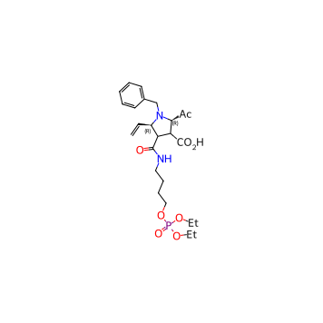 C=C[C@@H]1C(C(=O)NCCCCOP(=O)(OCC)OCC)C(C(=O)O)[C@H](C(C)=O)N1Cc1ccccc1